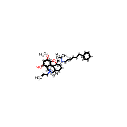 C=CCN1CC[C@]23c4c5c(O)cc(OC)c4O[C@H]2[C@H](N(CCCCCCc2ccccc2)C(C)C)CC[C@H]3[C@H]1C5